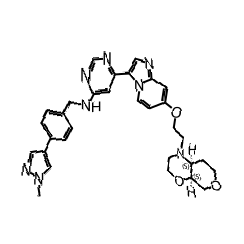 Cn1cc(-c2ccc(CNc3cc(-c4cnc5cc(OCCN6CCO[C@@H]7COCC[C@@H]76)ccn45)ncn3)cc2)cn1